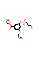 CCOC(=O)c1cc(NS(=O)(=O)CCCCl)cc(SCC)c1